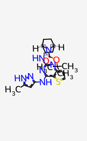 Cc1cc(Nc2nc(N[C@H]3C[C@@H]4CC[C@H]3N4C(=O)OC(C)(C)C)nc3ccsc23)n[nH]1